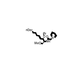 CCCCCCCCCCCCC/C=C/[C@H](OC(C)C)[C@H](COC)NC(=O)C[n+]1ccccc1